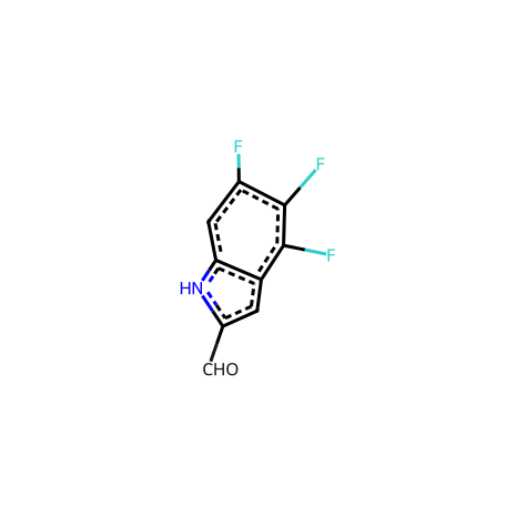 O=Cc1cc2c(F)c(F)c(F)cc2[nH]1